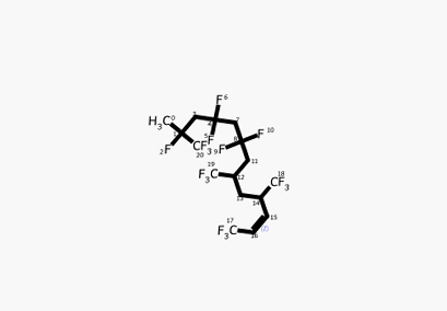 CC(F)(CC(F)(F)CC(F)(F)CC(CC(/C=C\C(F)(F)F)C(F)(F)F)C(F)(F)F)C(F)(F)F